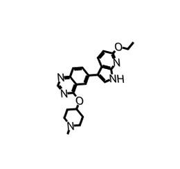 CCOc1ccc2c(-c3ccc4ncnc(OC5CCN(C)CC5)c4c3)c[nH]c2n1